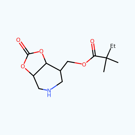 CCC(C)(C)C(=O)OCC1CNCC2OC(=O)OC12